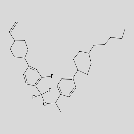 C=CC1CCC(c2ccc(C(F)(F)OC(C)c3ccc(C4CCC(CCCCC)CC4)cc3)c(F)c2)CC1